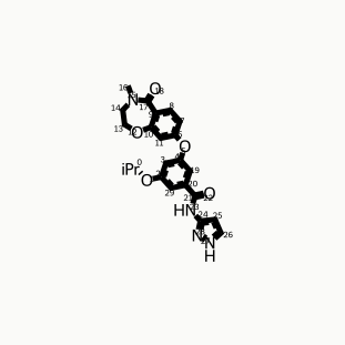 CC(C)Oc1cc(Oc2ccc3c(c2)OCCN(C)C3=O)cc(C(=O)Nc2cc[nH]n2)c1